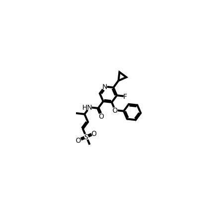 CC(C=CS(C)(=O)=O)NC(=O)c1cnc(C2CC2)c(F)c1Oc1ccccc1